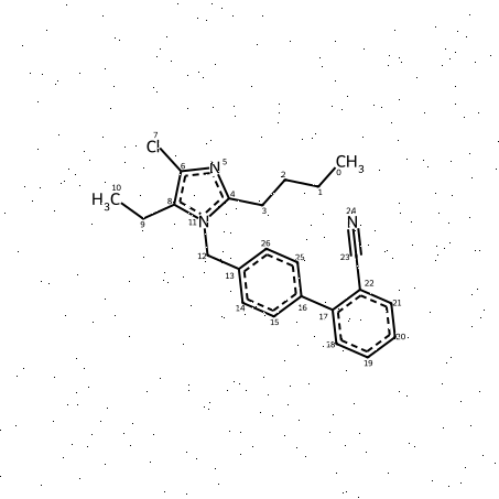 CCCCc1nc(Cl)c(CC)n1Cc1ccc(-c2ccccc2C#N)cc1